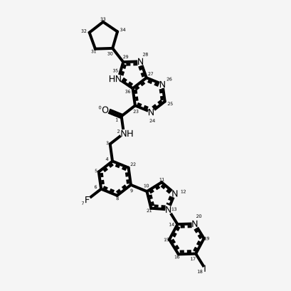 O=C(NCc1cc(F)cc(-c2cnn(-c3ccc(I)cn3)c2)c1)c1ncnc2nc(C3CCCC3)[nH]c12